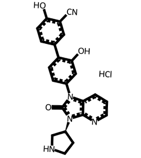 Cl.N#Cc1cc(-c2ccc(-n3c(=O)n([C@H]4CCNC4)c4ncccc43)cc2O)ccc1O